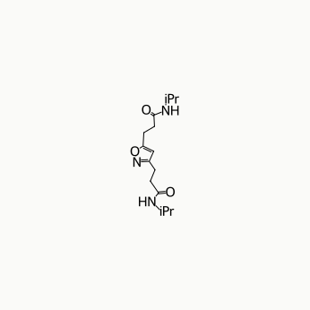 CC(C)NC(=O)CCc1cc(CCC(=O)NC(C)C)on1